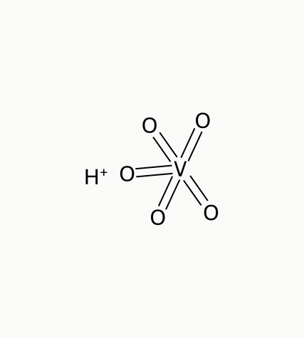 [H+].[O]=[V](=[O])(=[O])(=[O])=[O]